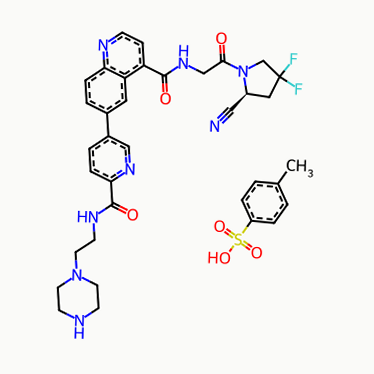 Cc1ccc(S(=O)(=O)O)cc1.N#C[C@@H]1CC(F)(F)CN1C(=O)CNC(=O)c1ccnc2ccc(-c3ccc(C(=O)NCCN4CCNCC4)nc3)cc12